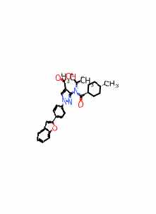 CC(C)N(c1nn(-c2ccc(-c3cc4ccccc4o3)cc2)cc1C(=O)O)C(=O)[C@H]1CC[C@H](C)CC1